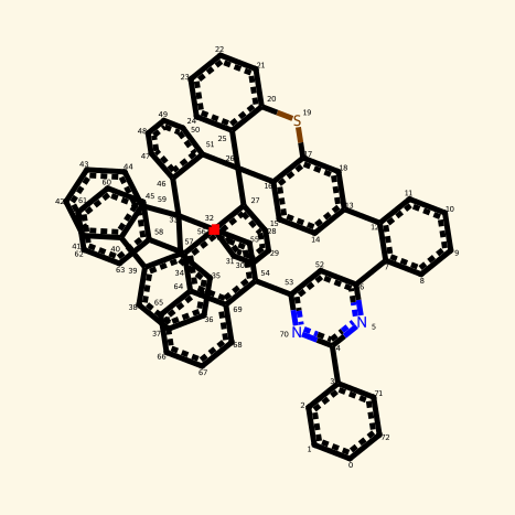 c1ccc(-c2nc(-c3ccccc3-c3ccc4c(c3)Sc3ccccc3C43c4ccccc4C4(c5ccccc5-c5ccccc54)c4ccccc43)cc(-c3ccc(-c4ccccc4)c4ccccc34)n2)cc1